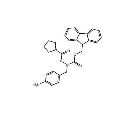 Nc1ccc(CN(OC(=O)N2CCCC2)C(=O)OCC2c3ccccc3-c3ccccc32)cc1